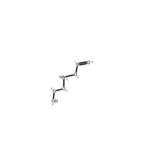 O=NONOOO